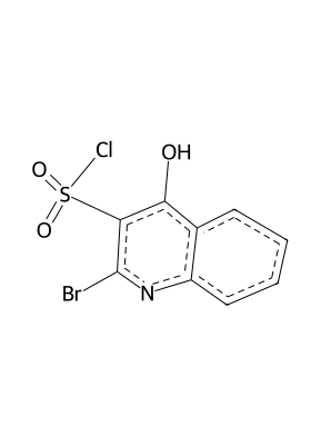 O=S(=O)(Cl)c1c(Br)nc2ccccc2c1O